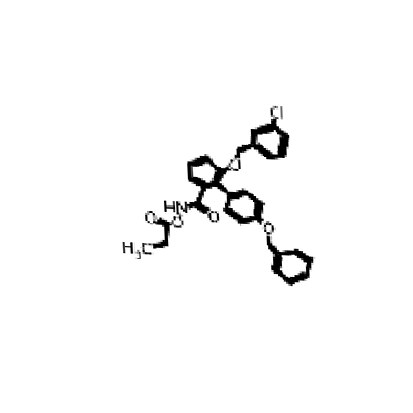 CCC(=O)ONC(=O)c1cccc(OCc2cccc(Cl)c2)c1-c1ccc(OCc2ccccc2)cc1